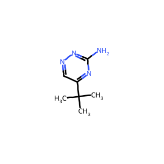 CC(C)(C)c1cnnc(N)n1